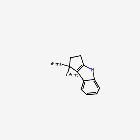 CCCCCC1(CCCCC)CCC2=C1c1ccccc1[N]2